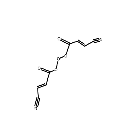 N#CC=CC(=O)OOOC(=O)C=CC#N